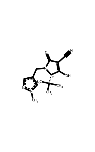 Cn1cc(CN2C(=O)C(C#N)=C(O)[C@@H]2C(C)(C)C)cn1